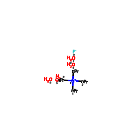 CCC[N+](CCC)(CCC)CCC.O.O.O.O.[F-]